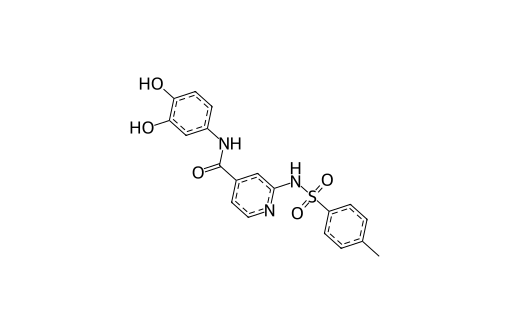 Cc1ccc(S(=O)(=O)Nc2cc(C(=O)Nc3ccc(O)c(O)c3)ccn2)cc1